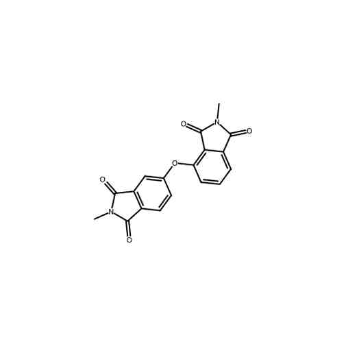 CN1C(=O)c2ccc(Oc3cccc4c3C(=O)N(C)C4=O)cc2C1=O